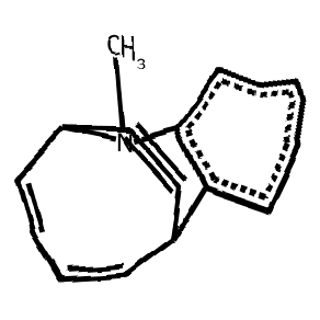 CN1c2ccccc2C2C#CC1/C=C\C=C/2